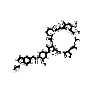 CCC1/C=C(\C)CC(C)CC(OC)C2OC(O)(C(=O)C(=O)N3CCCCC3C(=O)OC(C(C)=CC3CCC(NCc4ccc5c(ccn5CCO)c4)C(OC)C3)C(C)C(O)CC1=O)C(C)CC2OC